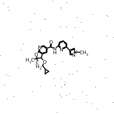 Cn1cc(-c2cccc(NC(=O)c3cnc4c(c3)C(OCC3CC3)C(C)(C)O4)n2)cn1